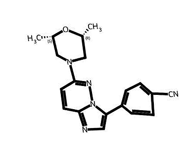 C[C@@H]1CN(c2ccc3ncc(-c4ccc(C#N)cc4)n3n2)C[C@H](C)O1